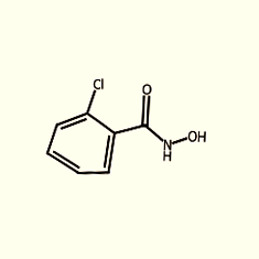 O=C(NO)c1ccccc1Cl